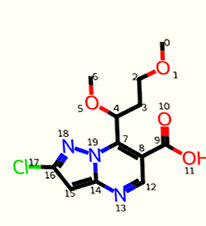 COCCC(OC)c1c(C(=O)O)cnc2cc(Cl)nn12